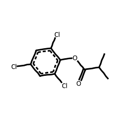 CC(C)C(=O)Oc1c(Cl)cc(Cl)cc1Cl